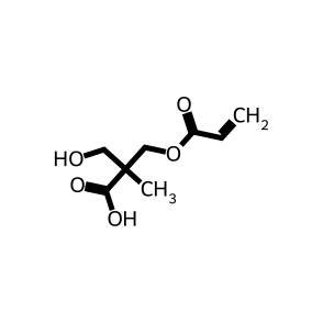 C=CC(=O)OCC(C)(CO)C(=O)O